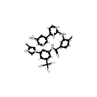 Cc1cn(-c2cc(NC(=O)c3ccc(C)c(Nc4nccc(-c5cncc(O)c5)n4)c3)cc(C(F)(F)F)c2)cn1